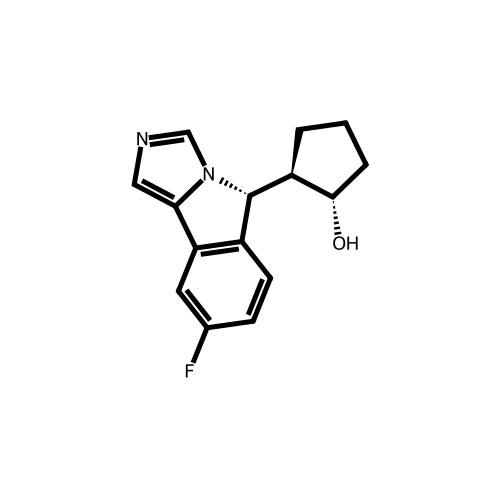 O[C@H]1CCC[C@@H]1[C@@H]1c2ccc(F)cc2-c2cncn21